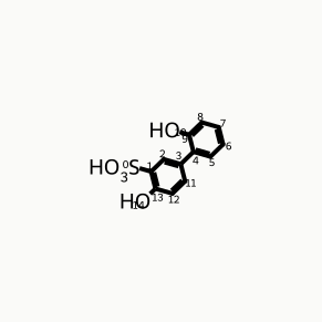 O=S(=O)(O)c1cc(-c2ccccc2O)ccc1O